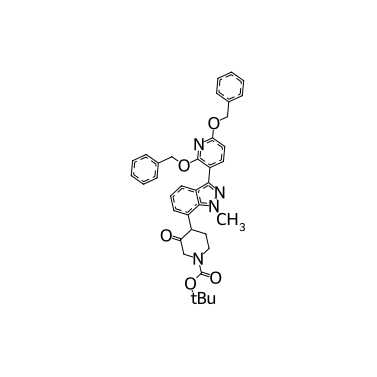 Cn1nc(-c2ccc(OCc3ccccc3)nc2OCc2ccccc2)c2cccc(C3CCN(C(=O)OC(C)(C)C)CC3=O)c21